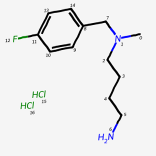 CN(CCCCN)Cc1ccc(F)cc1.Cl.Cl